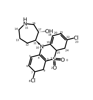 O=S1(=O)C2=C(C=CC(Cl)C2)N([C@H]2CCCNC[C@@H]2O)C2=CC=C(Cl)CC21